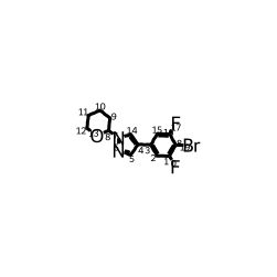 Fc1cc(-c2cnn(C3CCCCO3)c2)cc(F)c1Br